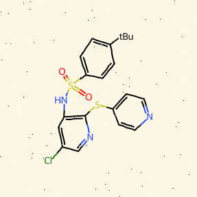 CC(C)(C)c1ccc(S(=O)(=O)Nc2cc(Cl)cnc2Sc2ccncc2)cc1